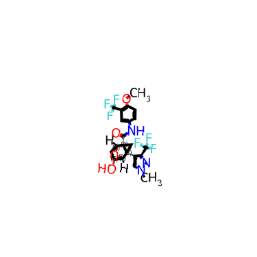 COc1ccc(NC(=O)[C@]23C[C@@]2(c2cn(C)nc2C(F)(F)F)[C@H]2O[C@@H]3C[C@@H]2O)cc1C(F)(F)F